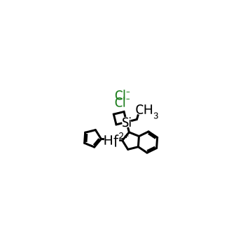 CC[Si]1(C2[CH]([Hf+2][C]3=CC=CC3)CC3C=CC=CC32)CCC1.[Cl-].[Cl-]